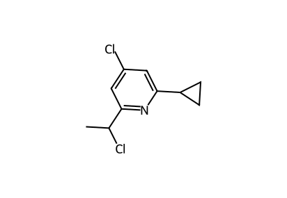 CC(Cl)c1cc(Cl)cc(C2CC2)n1